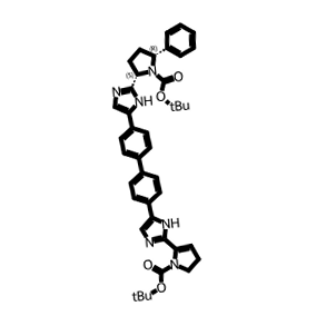 CC(C)(C)OC(=O)N1CCC=C1c1ncc(-c2ccc(-c3ccc(-c4cnc([C@@H]5CC[C@H](c6ccccc6)N5C(=O)OC(C)(C)C)[nH]4)cc3)cc2)[nH]1